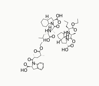 CCC[C@H](N[C@@H](C)C(=O)N1[C@H](C(=O)O)C[C@@H]2CCCC[C@@H]21)C(=O)O.CCC[C@H](N[C@@H](C)C(=O)N1[C@H](C(=O)O)C[C@@H]2CCCC[C@@H]21)C(=O)OCC.CCOC(=O)[C@H](C)C[C@@H](C)C(=O)N1c2ccccc2C[C@H]1C(=O)O